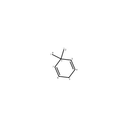 [CH]C1([CH])C=CCC=C1